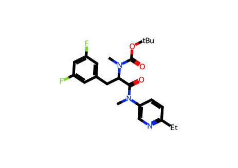 CCc1ccc(N(C)C(=O)C(Cc2cc(F)cc(F)c2)N(C)C(=O)OC(C)(C)C)cn1